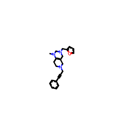 CN1CN(Cc2ccco2)CC2=C1CCN(CC#Cc1ccccc1)C2